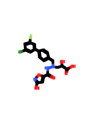 O=C(NN(Cc1ccc(-c2cc(F)cc(Cl)c2)cc1)CC(O)C(=O)O)c1cc(O)no1